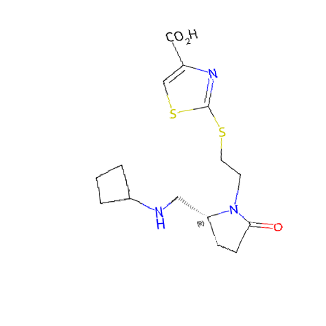 O=C(O)c1csc(SCCN2C(=O)CC[C@@H]2CNC2CCC2)n1